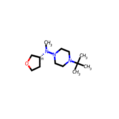 CN([C@@H]1CCOC1)N1CCN(C(C)(C)C)CC1